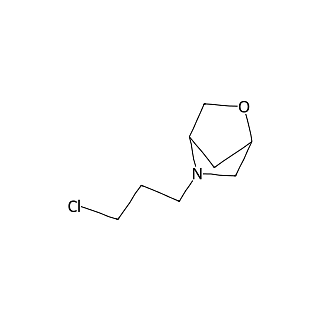 ClCCCN1CC2CC1CO2